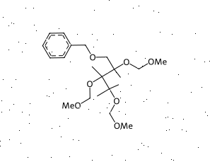 COCOC(C)(C)C(C)(OCOC)C(C)(COCc1ccccc1)OCOC